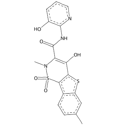 Cc1ccc2c3c(sc2c1)C(O)=C(C(=O)Nc1ncccc1O)N(C)S3(=O)=O